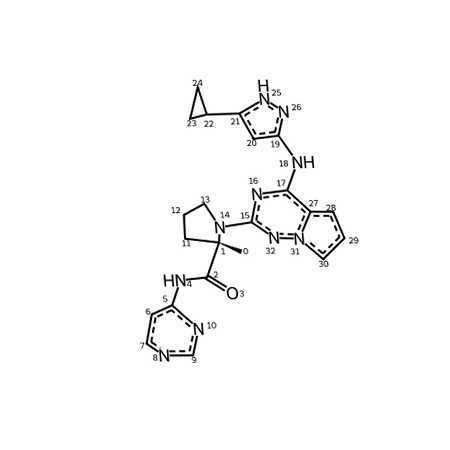 C[C@@]1(C(=O)Nc2ccncn2)CCCN1c1nc(Nc2cc(C3CC3)[nH]n2)c2cccn2n1